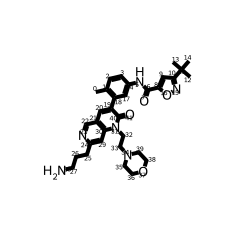 Cc1ccc(NC(=O)c2cc(C(C)(C)C)no2)cc1-c1cc2cnc(CCCN)cc2n(CCN2CCOCC2)c1=O